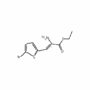 CCOC(=O)/C(N)=C/c1ccc(Br)s1